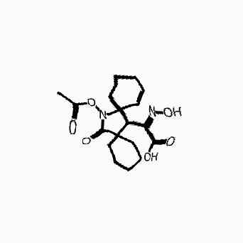 CC(=O)ON1C(=O)C2(CCCCC2)C(C(=NO)C(=O)O)C12C=CCCC2